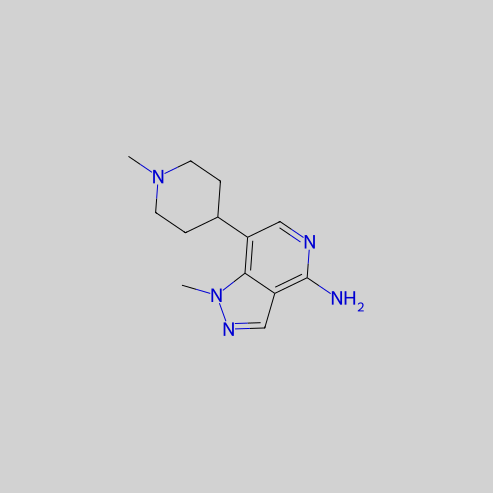 CN1CCC(c2cnc(N)c3cnn(C)c23)CC1